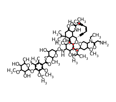 CC#C/C=C\C#C[C@H](OC1OC(C)C(NOC2CC(O)C(SC(=O)c3c(C)c(I)c(OC4OC(C)C(O)C(OC)C4O)c(OC)c3OC)C(C)O2)C(O)C1OC1CC(OC)C(N(CC)C(=O)CN)CO1)C1/C(=C\CSSC(C)C)[C@](O)(C(C)C)CC(=O)C1NC(=O)OC